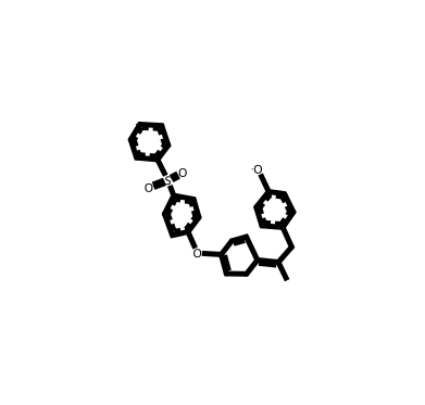 CC(Cc1ccc([O])cc1)=C1C=CC(Oc2ccc(S(=O)(=O)c3cc[c]cc3)cc2)=CC1